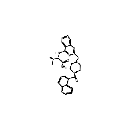 CC(C)[C@H](Nc1nc(CN2CCN(C(=O)c3cccc4ccccc34)CC2)nc2ccccc12)C(N)=O